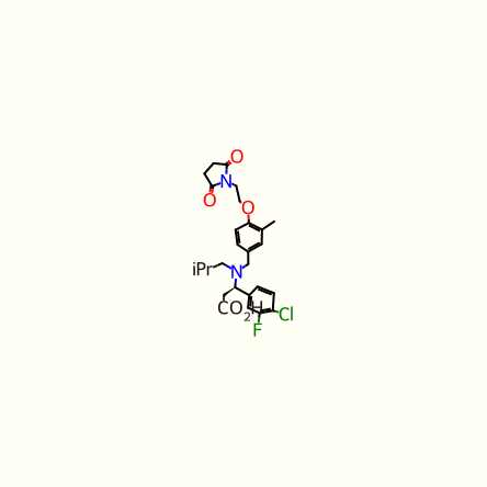 Cc1cc(CN(CC(C)C)[C@H](CC(=O)O)c2ccc(Cl)c(F)c2)ccc1OCCN1C(=O)CCC1=O